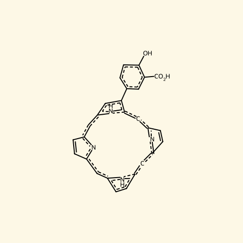 O=C(O)c1cc(-c2cc3cc4nc(cc5ccc(cc6nc(cc2[nH]3)C=C6)[nH]5)C=C4)ccc1O